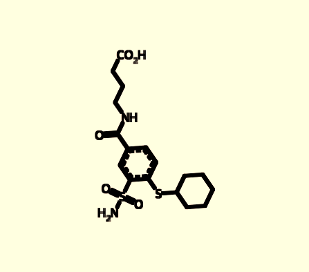 NS(=O)(=O)c1cc(C(=O)NCCCC(=O)O)ccc1SC1CCCCC1